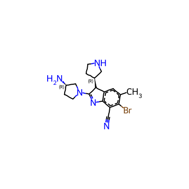 Cc1cc2c(c(C#N)c1Br)N=C(N1CC[C@@H](N)C1)C2[C@H]1CCNC1